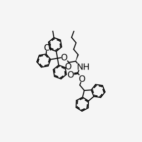 CCCCC[C@@H](NC(=O)OCC1c2ccccc2-c2ccccc21)C(=O)OC(c1ccccc1)(c1ccc(C)cc1)c1ccccc1Cl